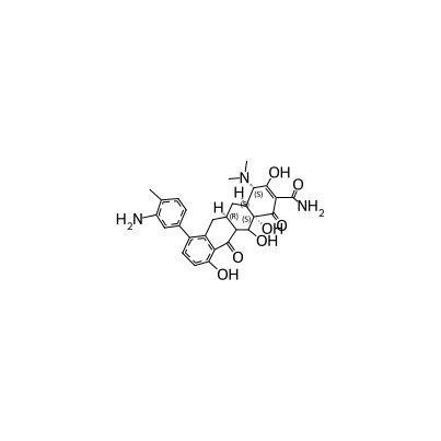 Cc1ccc(-c2ccc(O)c3c2C[C@H]2C[C@H]4[C@H](N(C)C)C(O)=C(C(N)=O)C(=O)[C@@]4(O)C(O)C2C3=O)cc1N